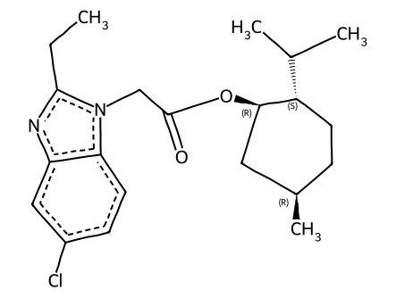 CCc1nc2cc(Cl)ccc2n1CC(=O)O[C@@H]1C[C@H](C)CC[C@H]1C(C)C